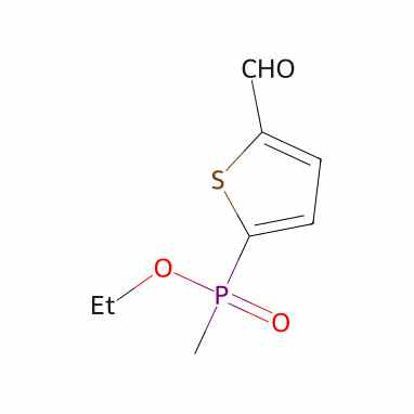 CCOP(C)(=O)c1ccc(C=O)s1